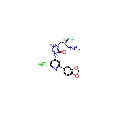 Cl.NC/C(=C\F)Cn1ncn(-c2ccnc(-c3ccc4c(c3)OCO4)c2)c1=O